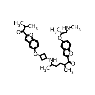 CNC[C@@H](C)Oc1ccc2oc(C(=O)C(C)CCC(C)N[C@H]3C[C@H](Oc4ccc5oc(C(=O)C(C)C)cc5c4)C3)cc2c1